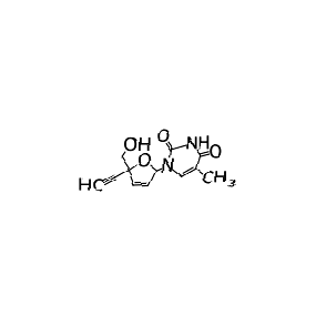 C#CC1(CO)C=CC(n2cc(C)c(=O)[nH]c2=O)O1